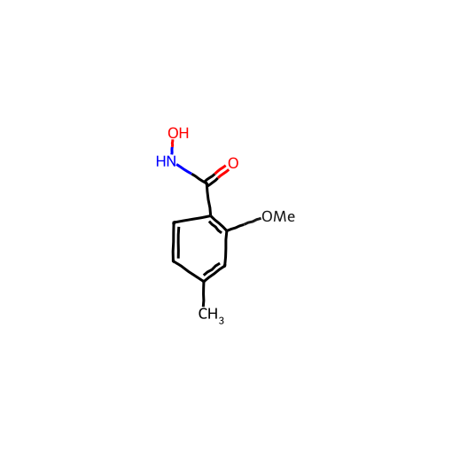 COc1cc(C)ccc1C(=O)NO